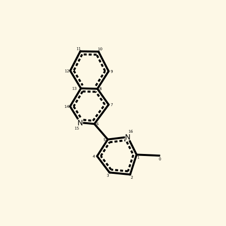 Cc1cccc(-c2cc3ccccc3cn2)n1